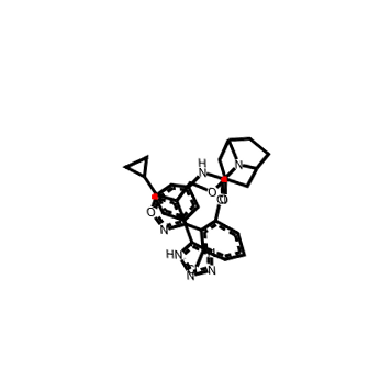 O=C(Nc1cccc(-c2nnn[nH]2)c1)N1C2CCC1CC(OCc1c(-c3c(Cl)cccc3Cl)noc1C1CC1)C2